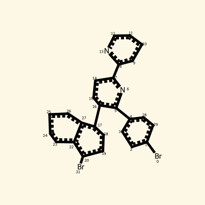 Brc1ccc(-c2nc(-c3ccccn3)ccc2-c2ccc(Br)c3ccccc23)cc1